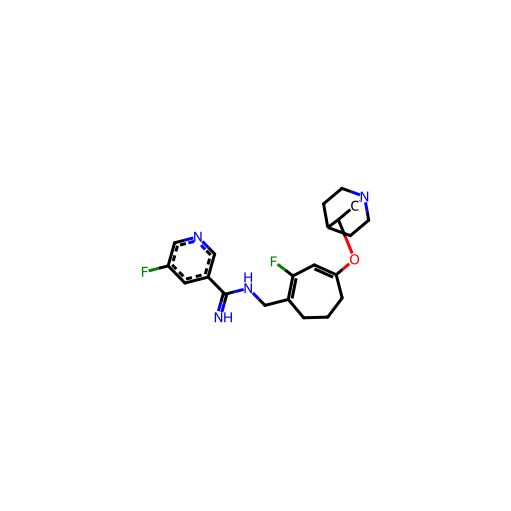 N=C(NCC1=C(F)C=C(OC2CN3CCC2CC3)CCC1)c1cncc(F)c1